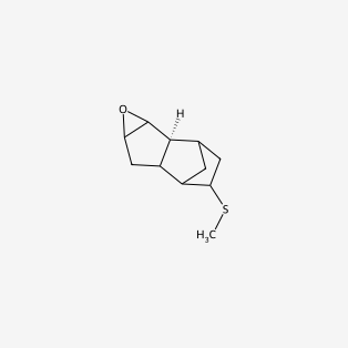 CSC1CC2CC1C1CC3OC3[C@@H]21